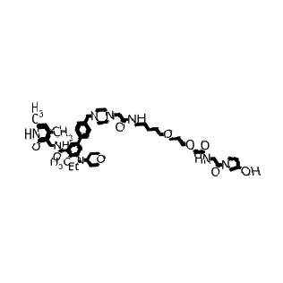 CCN(c1cc(-c2ccc(CN3CCN(CC(=O)NCCCCCOCCCOCC(=O)NCC(=O)N4CCC(O)C4)CC3)cc2)cc(C(=O)NCc2c(C)cc(C)[nH]c2=O)c1C)C1CCOCC1